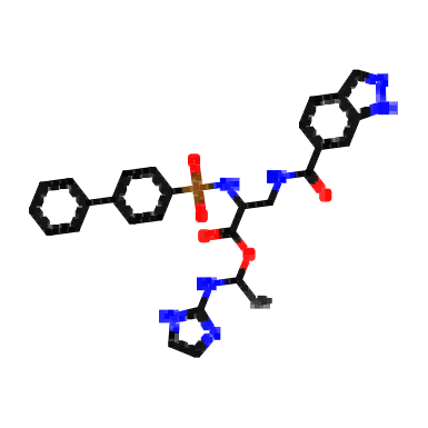 CCCC(Nc1ncc[nH]1)OC(=O)C(CNC(=O)c1ccc2cn[nH]c2c1)NS(=O)(=O)c1ccc(-c2ccccc2)cc1